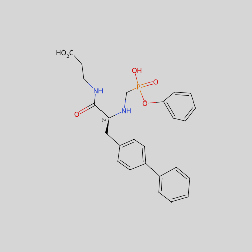 O=C(O)CCNC(=O)[C@H](Cc1ccc(-c2ccccc2)cc1)NCP(=O)(O)Oc1ccccc1